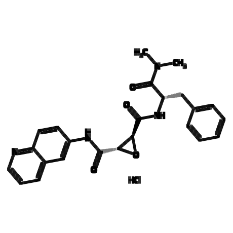 CN(C)C(=O)[C@H](Cc1ccccc1)NC(=O)[C@H]1O[C@@H]1C(=O)Nc1ccc2ncccc2c1.Cl